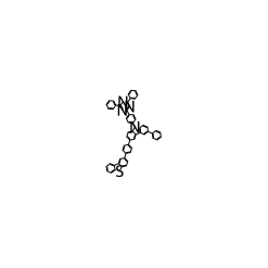 c1ccc(-c2ccc3c(c2)c2cc(-c4ccc(-c5ccc6sc7ccccc7c6c5)cc4)ccc2n3-c2ccc(-c3nc(-c4ccccc4)nc(-c4ccccc4)n3)cc2)cc1